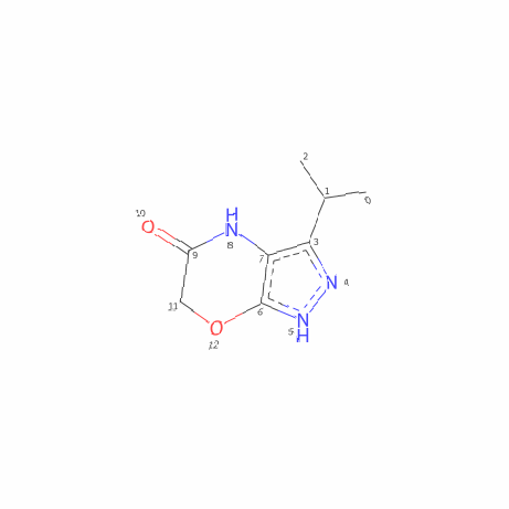 CC(C)c1n[nH]c2c1NC(=O)CO2